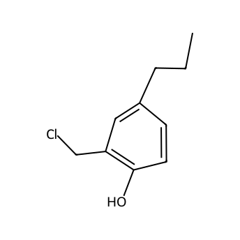 CCCc1ccc(O)c(CCl)c1